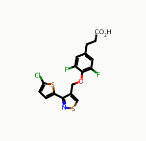 O=C(O)CCc1cc(F)c(OCc2csnc2-c2ccc(Cl)s2)c(F)c1